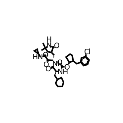 CC1(C)CC(C[C@H](NC(=O)[C@H](CC2CCCCC2)NC(=O)OC2CCCC2Cc2cccc(Cl)c2)C(=O)C(=O)NC2CC2)C(=O)N1